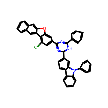 Clc1cc(C2=NC(c3ccc4c5ccccc5n(-c5ccccc5)c4c3)NC(c3ccccc3)=N2)cc2oc3cc4ccccc4cc3c12